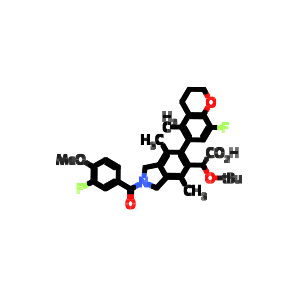 COc1ccc(C(=O)N2Cc3c(C)c(-c4cc(F)c5c(c4C)CCCO5)c([C@H](OC(C)(C)C)C(=O)O)c(C)c3C2)cc1F